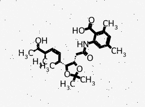 Cc1cc(C)c(C(=O)O)c(NC(=O)C[C@@H]2OC(C)(C)O[C@@H]2C(C)/C=C\[C@@H](C)[C@@H](C)O)c1